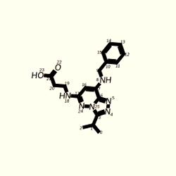 CC(C)c1nnc2c(NCc3ccccc3)cc(NCCC(=O)O)nn12